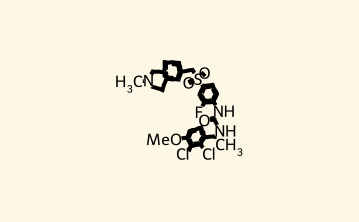 COc1ccc([C@@H](C)NC(=O)Nc2ccc(S(=O)(=O)Cc3ccc4c(c3)CCN(C)C4)cc2F)c(Cl)c1Cl